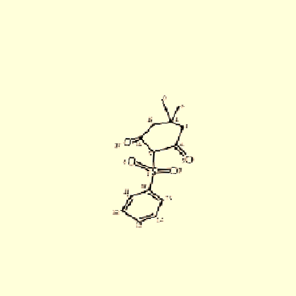 CC1(C)CC(=O)C(S(=O)(=O)c2[c]cccc2)C(=O)C1